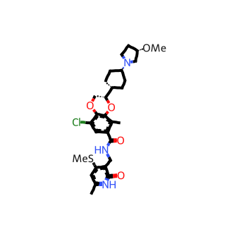 CO[C@H]1CCN([C@H]2CC[C@@H]([C@H]3COc4c(Cl)cc(C(=O)NCc5c(SC)cc(C)[nH]c5=O)c(C)c4O3)CC2)C1